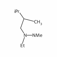 CCN(CC(C)C(C)C)NC